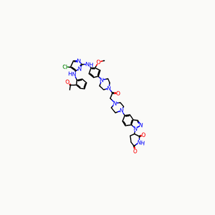 COc1cc(N2CCN(C(=O)CN3CCN(c4ccc5c(cnn5C5CCC(=O)NC5=O)c4)CC3)CC2)ccc1Nc1ncc(Cl)c(Nc2ccccc2C(C)=O)n1